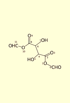 O=COC(=O)C(O)C(O)C(=O)OC=O